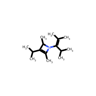 CC(C)=C(C(C)C)N1C(C)=C(C(C)C)C1C